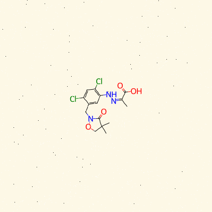 CC(=NNc1cc(CN2OCC(C)(C)C2=O)c(Cl)cc1Cl)C(=O)O